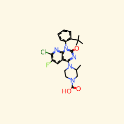 CC1CN(C(=O)O)CCN1c1nc(=O)n(-c2ccccc2C(C)(C)C)c2nc(Cl)c(F)cc12